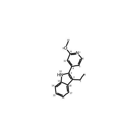 CCc1c(-c2ccnc(OC)c2)[nH]c2ccccc12